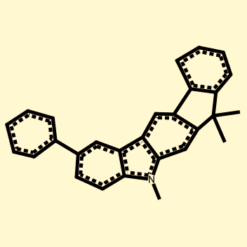 Cn1c2ccc(-c3ccccc3)cc2c2cc3c(cc21)C(C)(C)c1ccccc1-3